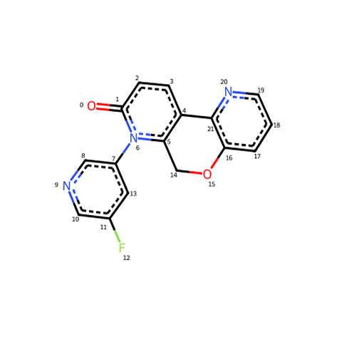 O=c1ccc2c(n1-c1cncc(F)c1)COc1cccnc1-2